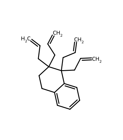 C=CCC1(CC=C)CCc2ccccc2C1(CC=C)CC=C